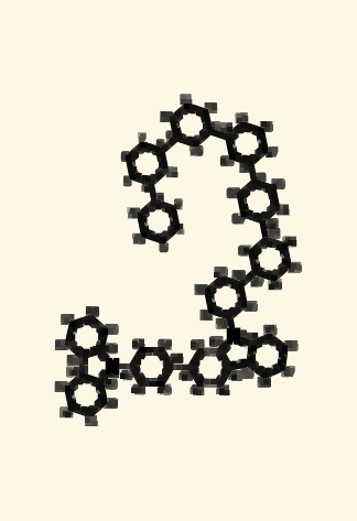 c1ccc(-c2cccc(-c3cccc(-c4cccc(-c5ccc(-c6cccc(-c7cccc(-n8c9ccccc9c9ccc(-c%10ccc(-n%11c%12ccccc%12c%12ccccc%12%11)cc%10)cc98)c7)c6)cc5)c4)c3)c2)cc1